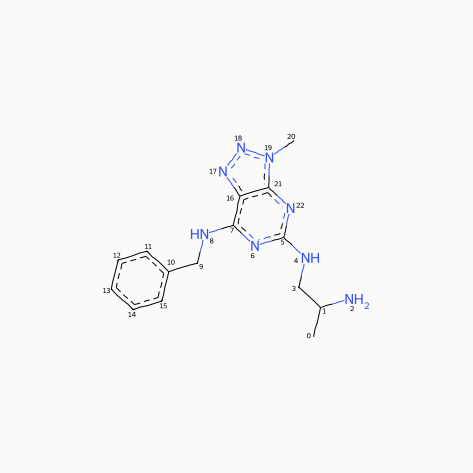 CC(N)CNc1nc(NCc2ccccc2)c2nnn(C)c2n1